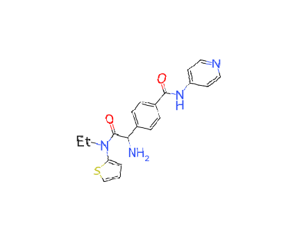 CCN(C(=O)C(N)c1ccc(C(=O)Nc2ccncc2)cc1)c1cccs1